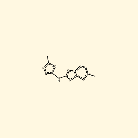 Cc1nnc(Nc2nc3c[n+](C)ccc3o2)o1